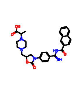 CC(C(=O)O)N1CCN(CC2CN(c3ccc(C(=N)NC(=O)c4ccc5ccccc5c4)cc3)C(=O)O2)CC1